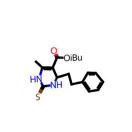 CC1=C(C(=O)OCC(C)C)C(CCc2ccccc2)NC(=S)N1